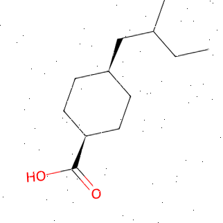 CCC(C)C[C@H]1CC[C@@H](C(=O)O)CC1